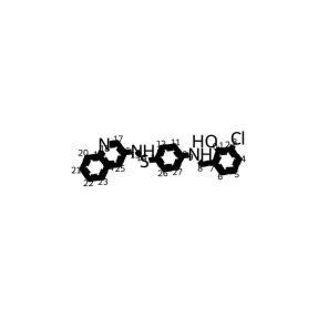 Oc1c(Cl)cccc1CNc1ccc(SNc2cnc3ccccc3c2)cc1